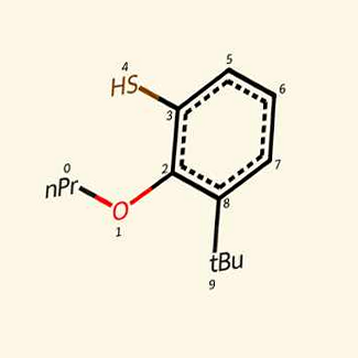 CCCOc1c(S)cccc1C(C)(C)C